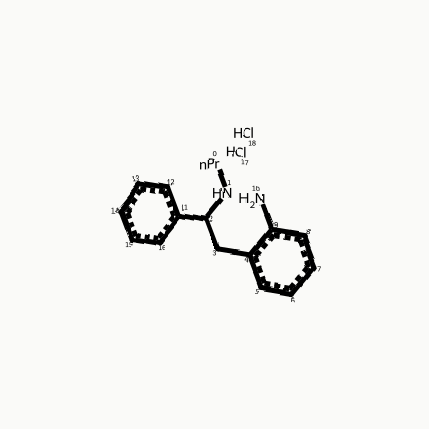 CCCNC(Cc1ccccc1N)c1ccccc1.Cl.Cl